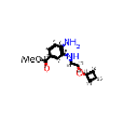 COC(=O)c1ccc(N)c(NCCOC2CCC2)c1